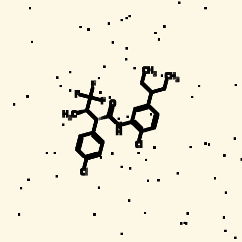 CCC(CC)c1ccc(Cl)c(NC(=O)[C@H](c2ccc(Cl)cc2)[C@@H](C)C(F)(F)F)c1